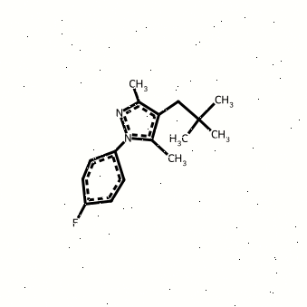 Cc1nn(-c2ccc(F)cc2)c(C)c1CC(C)(C)C